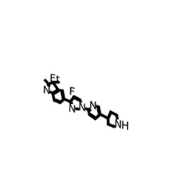 CCC1(C)C(C)=Nc2ccc(C3=NCN(c4ccc(C5CCNCC5)cn4)C=C3F)cc21